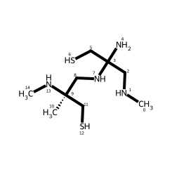 CNCC(N)(CS)NC[C@@](C)(CS)NC